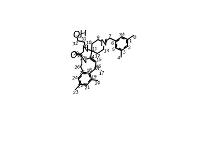 Cc1cc(C)cc(CN2CCC3(CC2)C2=C[C@H](C)c4c(C)cc(C)cc4CN2C(=O)N3CCO)c1